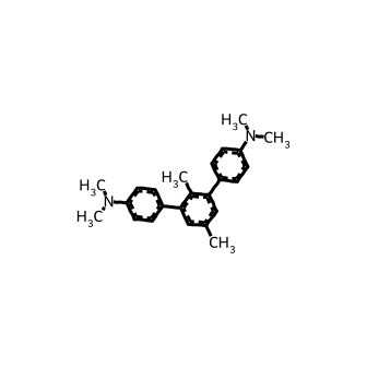 Cc1cc(-c2ccc(N(C)C)cc2)c(C)c(-c2ccc(N(C)C)cc2)c1